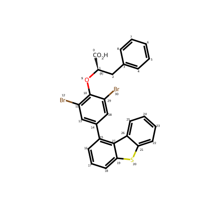 O=C(O)[C@@H](Cc1ccccc1)Oc1c(Br)cc(-c2cccc3sc4ccccc4c23)cc1Br